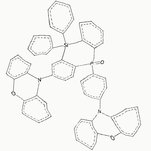 O=P1(c2ccc(N3c4ccccc4Oc4ccccc43)cc2)c2ccccc2[Si](c2ccccc2)(c2ccccc2)c2cc(N3c4ccccc4Oc4ccccc43)ccc21